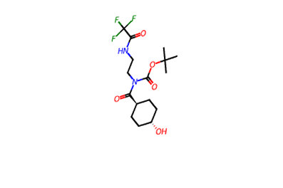 CC(C)(C)OC(=O)N(CCNC(=O)C(F)(F)F)C(=O)[C@H]1CC[C@H](O)CC1